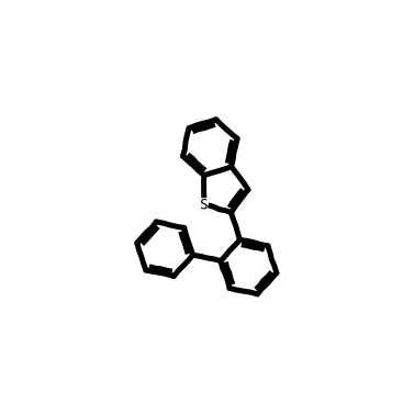 c1ccc(-c2ccccc2-c2cc3ccccc3s2)cc1